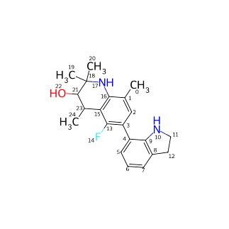 Cc1cc(-c2cccc3c2NCC3)c(F)c2c1NC(C)(C)C(O)C2C